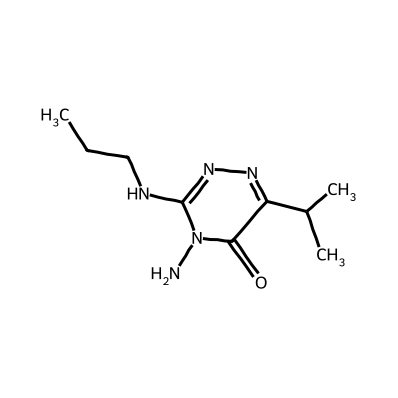 CCCNc1nnc(C(C)C)c(=O)n1N